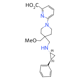 COCC1(CN[C@@H]2C[C@H]2c2ccccc2)CCN(c2cccc(C(=O)O)n2)CC1